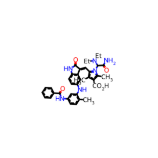 CCN(CC)C(C(N)=O)n1c(C)c(C(=O)O)c(C)c1C=C1C(=O)Nc2ccc(Nc3cc(NC(=O)c4ccccc4)ccc3C)cc21